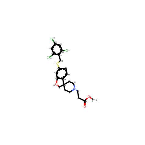 CC(C)(C)OC(=O)CCN1CCC2(CC1)COc1cc(SCc3c(Cl)cc(Cl)cc3Cl)ccc12